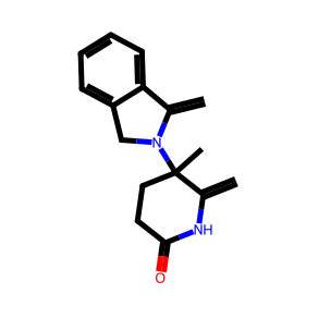 C=C1c2ccccc2CN1C1(C)CCC(=O)NC1=C